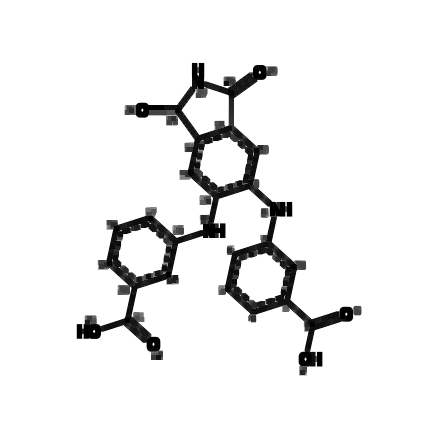 O=C(O)c1cccc(Nc2cc3c(cc2Nc2cccc(C(=O)O)c2)C(=O)NC3=O)c1